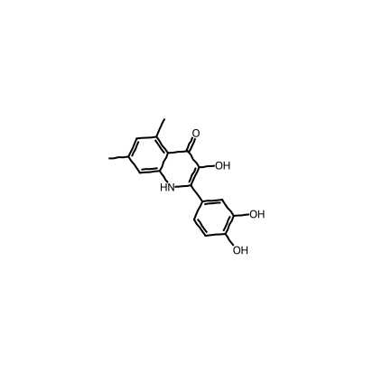 Cc1cc(C)c2c(=O)c(O)c(-c3ccc(O)c(O)c3)[nH]c2c1